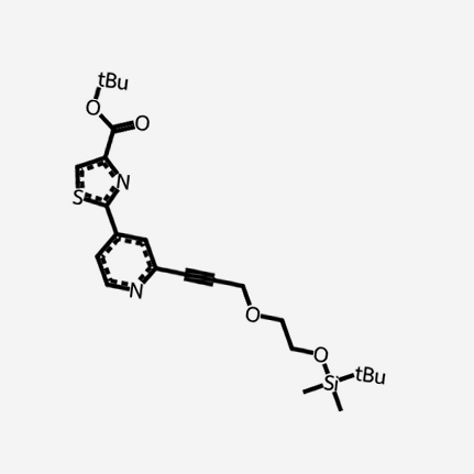 CC(C)(C)OC(=O)c1csc(-c2ccnc(C#CCOCCO[Si](C)(C)C(C)(C)C)c2)n1